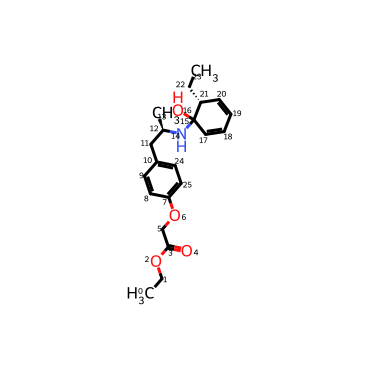 CCOC(=O)COc1ccc(C[C@@H](C)NC2(O)C=CC=C[C@H]2CC)cc1